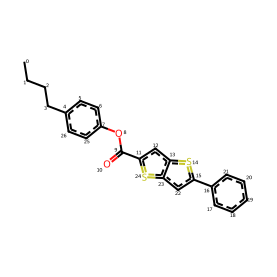 CCCCc1ccc(OC(=O)c2cc3sc(-c4ccccc4)cc3s2)cc1